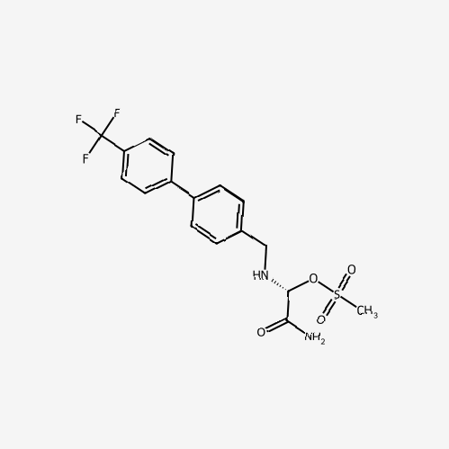 CS(=O)(=O)O[C@@H](NCc1ccc(-c2ccc(C(F)(F)F)cc2)cc1)C(N)=O